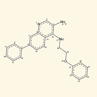 Nc1cnc2cc(-c3ccccc3)ccc2c1NCCOc1ccccc1